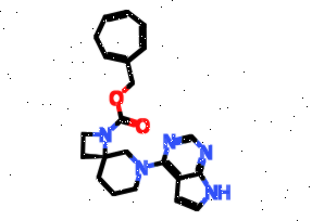 O=C(OCC1=CCC=CC=C1)N1CC[C@@]12CCCN(c1ncnc3[nH]ccc13)C2